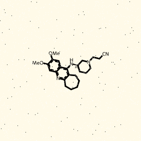 COc1cc2nc3c(c(N[C@@H]4CCCN(CCC#N)C4)c2cc1OC)CCCCC3